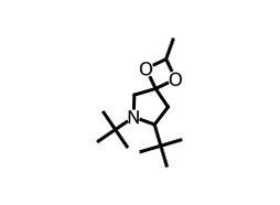 CC1OC2(CC(C(C)(C)C)N(C(C)(C)C)C2)O1